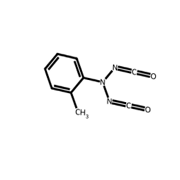 Cc1ccccc1N(N=C=O)N=C=O